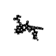 CON=C(C(=O)NC1C(=O)N2CC(C(=O)OCOC(=O)C(C)(C)C)(C3CCCCO3)C(SC)S[C@H]12)c1csc(N)n1